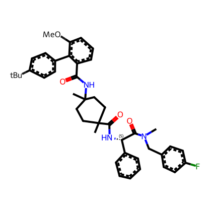 COc1cccc(C(=O)NC2(C)CCC(C)(C(=O)N[C@H](C(=O)N(C)Cc3ccc(F)cc3)c3ccccc3)CC2)c1-c1ccc(C(C)(C)C)cc1